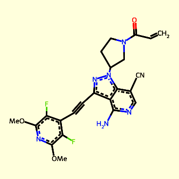 C=CC(=O)N1CCC(n2nc(C#Cc3c(F)c(OC)nc(OC)c3F)c3c(N)ncc(C#N)c32)C1